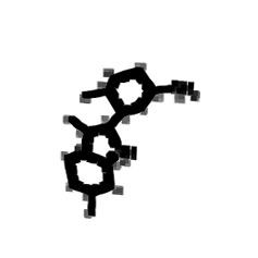 Cc1ccc2c(C)c(-c3cc(N)ccc3C)[nH]c2c1